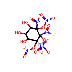 O=[N+]([O-])OC1([N+](=O)[O-])C(O)C(O)C(O)C(O[N+](=O)[O-])([N+](=O)[O-])C1(O[N+](=O)[O-])[N+](=O)[O-]